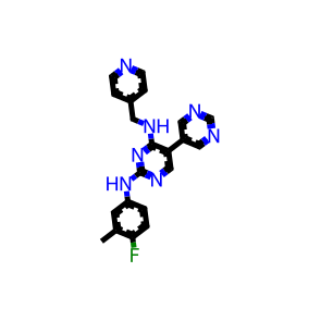 Cc1cc(Nc2ncc(-c3cncnc3)c(NCc3ccncc3)n2)ccc1F